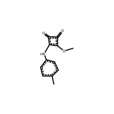 [CH2]c1ccc(Nc2c(OC)c(=O)c2=O)cc1